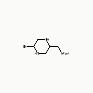 CCCCCCC1CNC(CC)CN1